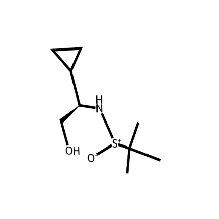 CC(C)(C)[S+]([O-])N[C@@H](CO)C1CC1